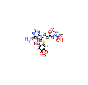 Nc1ncnc2c1nc(Sc1cc3c(cc1Br)OCO3)n2CCC1CN(C(=O)O)CCO1